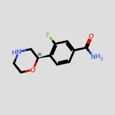 NC(=O)c1ccc([C@@H]2CNCCO2)c(F)c1